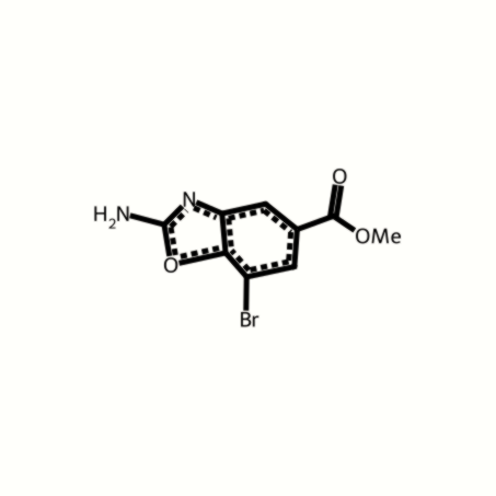 COC(=O)c1cc(Br)c2oc(N)nc2c1